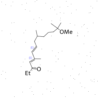 CCC(=O)/C=C(C)/C=C/CC(C)CCCC(C)(C)OC